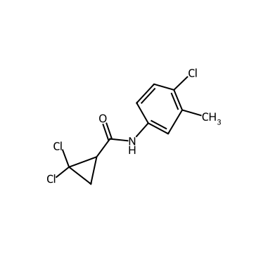 Cc1cc(NC(=O)C2CC2(Cl)Cl)ccc1Cl